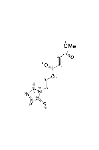 COC(=O)/C=C/C(=O)OCCn1[nH]nnc1=S